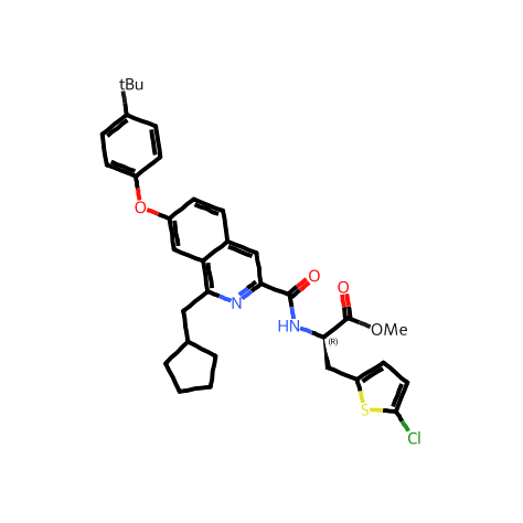 COC(=O)[C@@H](Cc1ccc(Cl)s1)NC(=O)c1cc2ccc(Oc3ccc(C(C)(C)C)cc3)cc2c(CC2CCCC2)n1